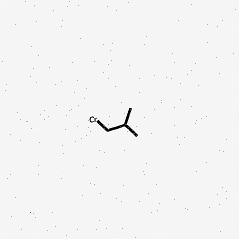 CC(C)[CH2][Cr]